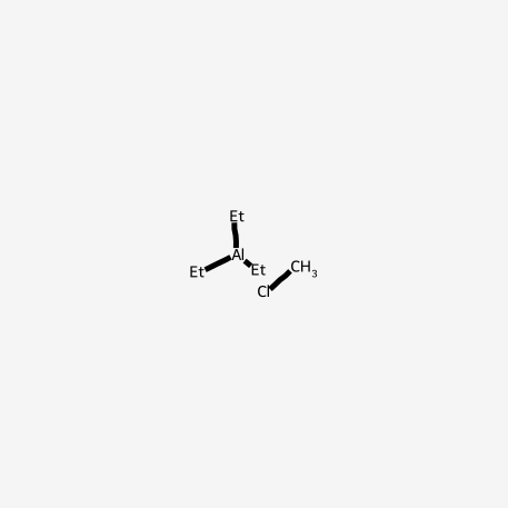 CCl.C[CH2][Al]([CH2]C)[CH2]C